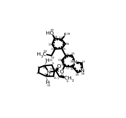 C=CC(=O)N1[C@@H]2CC[C@H]1C[C@H](Oc1cc(-c3cc(F)c(O)cc3CC)cn3cncc13)C2